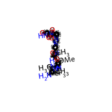 COc1cc2nc(C)nc(N[C@H](C)c3cc(N)cc(C(F)(F)F)c3)c2cc1OCC1(CN(C)C(=O)C2CCC(N3CCN(c4cccc5c4C(=O)N([C@@H]4CCC(=O)NC4=O)C5=O)CC3)CC2)CC1